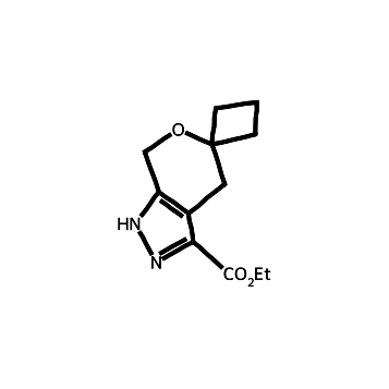 CCOC(=O)c1n[nH]c2c1CC1(CCC1)OC2